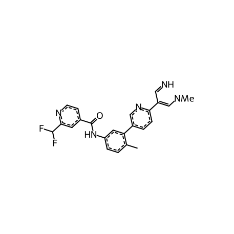 CN/C=C(\C=N)c1ccc(-c2cc(NC(=O)c3ccnc(C(F)F)c3)ccc2C)cn1